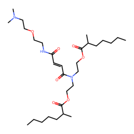 CCCCCC(C)C(=O)OCCN(CCOC(=O)C(C)CCCCC)C(=O)C=CC(=O)NCCOCCN(C)C